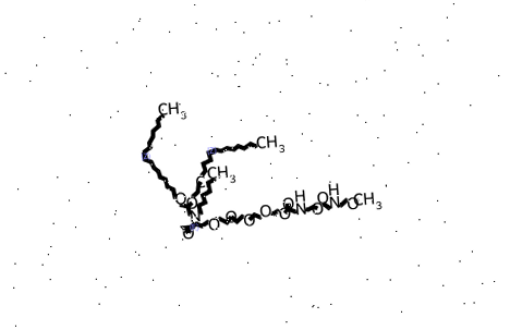 CCCCCCCC/C=C\CCCCCCCCOCC(CN(CCCCCCCC)/C(CCOCCOCCOCCOCCOC(=O)CNCCOC(=O)CNCCOC)=C1\CO1)OCCCCCCCC/C=C\CCCCCCCC